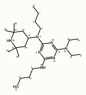 CCCCN(c1nc(NCCCO)nc(N(CC)CC)n1)C1CC(C)(C)NC(C)(C)C1